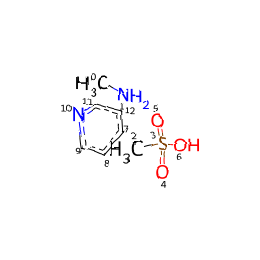 CN.CS(=O)(=O)O.c1ccncc1